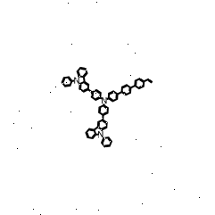 C=Cc1ccc(-c2ccc(-c3ccc(N(c4ccc(-c5ccc6c(c5)c5ccccc5n6-c5ccccc5)cc4)c4ccc(-c5ccc6c(c5)c5ccccc5n6-c5ccccc5)cc4)cc3)cc2)cc1